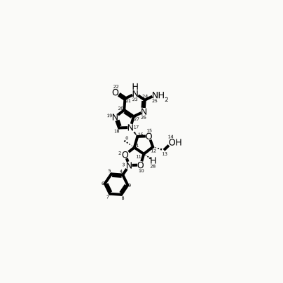 C[C@@]12ON(c3ccccc3)O[C@@H]1[C@@H](CO)O[C@H]2n1cnc2c(=O)[nH]c(N)nc21